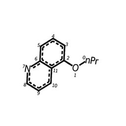 CCCOc1cccc2ncccc12